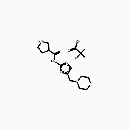 O=C(Nc1ncc(CN2CCOCC2)s1)C1CCNC1.O=C(O)C(F)(F)F